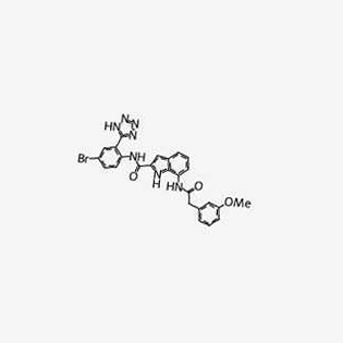 COc1cccc(CC(=O)Nc2cccc3cc(C(=O)Nc4ccc(Br)cc4-c4nnn[nH]4)[nH]c23)c1